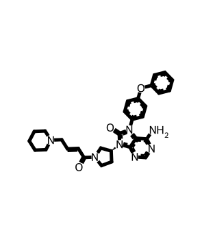 Nc1ncnc2c1n(-c1ccc(Oc3ccccc3)cc1)c(=O)n2[C@@H]1CCN(C(=O)C=CCN2CCCCC2)C1